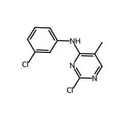 Cc1cnc(Cl)nc1Nc1cccc(Cl)c1